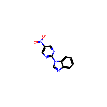 O=[N+]([O-])c1cnc(-n2cnc3ccccc32)nc1